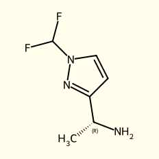 C[C@@H](N)c1ccn(C(F)F)n1